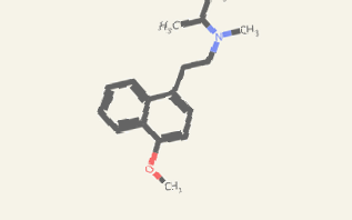 COc1ccc(CCN(C)C(C)C)c2ccccc12